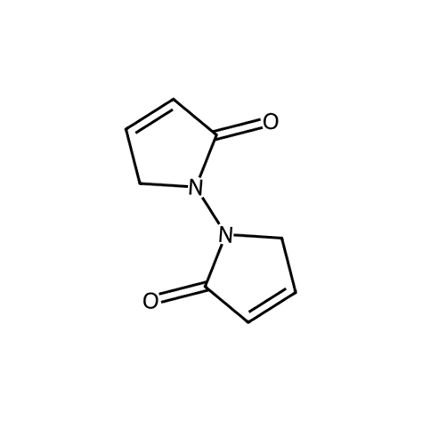 O=C1C=CCN1N1CC=CC1=O